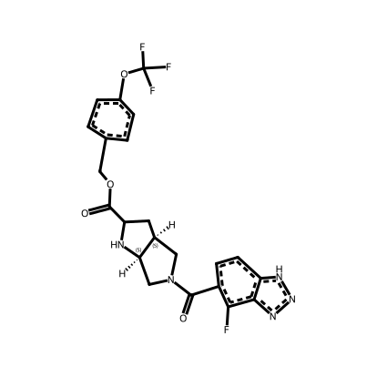 O=C(OCc1ccc(OC(F)(F)F)cc1)C1C[C@H]2CN(C(=O)c3ccc4[nH]nnc4c3F)C[C@H]2N1